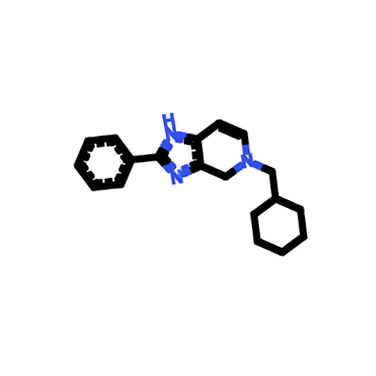 C1=CN(CC2CCCCC2)Cc2nc(-c3ccccc3)[nH]c21